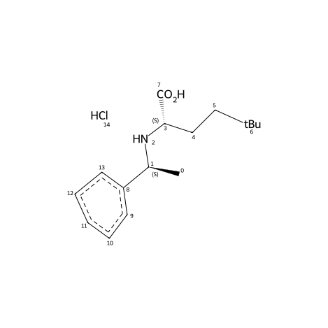 C[C@H](N[C@@H](CCC(C)(C)C)C(=O)O)c1ccccc1.Cl